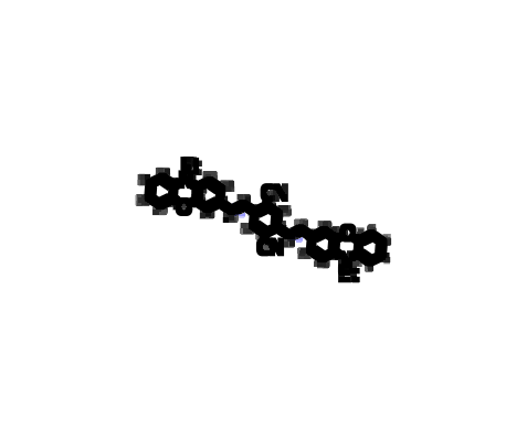 CCN1c2ccccc2Oc2cc(/C=C/c3cc(C#N)c(/C=C/c4ccc5c(c4)Oc4ccccc4N5CC)cc3C#N)ccc21